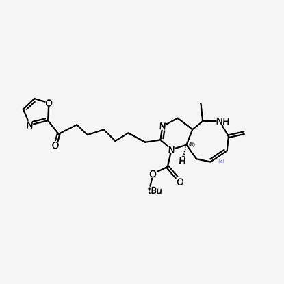 C=C1/C=C\C[C@@H]2C(CN=C(CCCCCCC(=O)c3ncco3)N2C(=O)OC(C)(C)C)C(C)N1